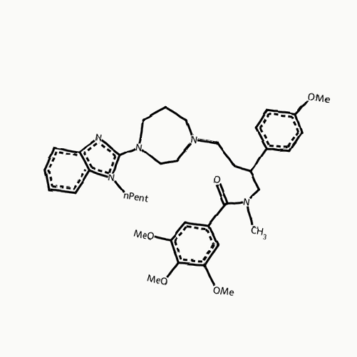 CCCCCn1c(N2CCCN(CCC(CN(C)C(=O)c3cc(OC)c(OC)c(OC)c3)c3ccc(OC)cc3)CC2)nc2ccccc21